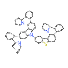 C#C/C=N\C(=C/C)c1ccccc1-c1ccc2c(c1)c1cc(-c3ccccc3-c3ccccn3)ccc1n2-c1ccc2sc3ccc(-c4ccccc4-c4ccccn4)cc3c2c1